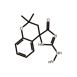 CCCNC1=NC(=O)C2(CC(C)(C)Oc3ccccc32)N1